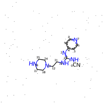 N#CN/C(=N\c1ccncc1)NCCN1CCNCC1